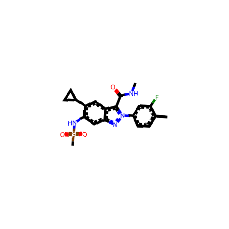 CNC(=O)c1c2cc(C3CC3)c(NS(C)(=O)=O)cc2nn1-c1ccc(C)c(F)c1